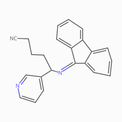 N#CCCCC(N=C1c2ccccc2-c2ccccc21)c1cccnc1